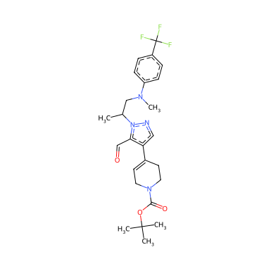 CC(CN(C)c1ccc(C(F)(F)F)cc1)n1ncc(C2=CCN(C(=O)OC(C)(C)C)CC2)c1C=O